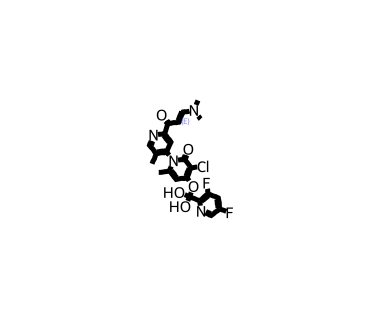 Cc1cnc(C(=O)/C=C/N(C)C)cc1-n1c(C)cc(OC(O)(O)c2ncc(F)cc2F)c(Cl)c1=O